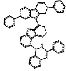 C1=CC(c2ccccc2)Cc2c1c1ccc(-c3ccccc3)cc1n2C1=c2oc3cccc(C4NC(c5ccccc5)=Nc5ccccc54)c3c2=CCC1